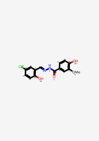 COc1cc(C(=O)NN=Cc2cc(Cl)ccc2O)ccc1O